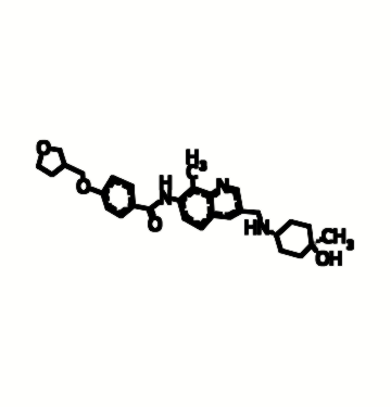 Cc1c(NC(=O)c2ccc(OCC3CCOC3)cc2)ccc2cc(CN[C@H]3CC[C@](C)(O)CC3)cnc12